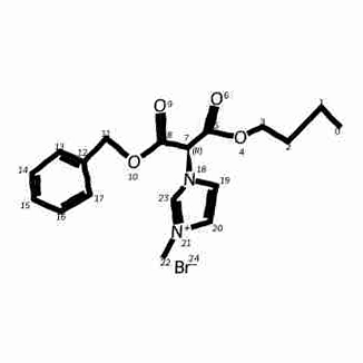 CCCCOC(=O)[C@H](C(=O)OCc1ccccc1)n1cc[n+](C)c1.[Br-]